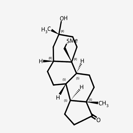 CSC[C@]12CC[C@@](C)(O)C[C@H]1CC[C@@H]1[C@@H]2CC[C@]2(C)C(=O)CC[C@@H]12